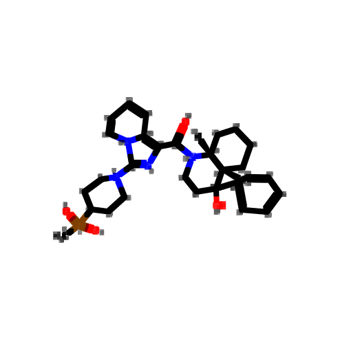 CS(=O)(=O)C1CCN(c2nc(C(=O)N3CCC(O)(c4ccccc4)[C@H]4CCCC[C@H]43)c3ccccn23)CC1